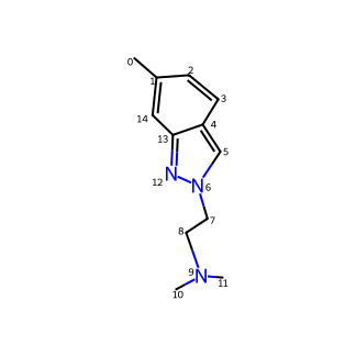 Cc1ccc2cn(CCN(C)C)nc2c1